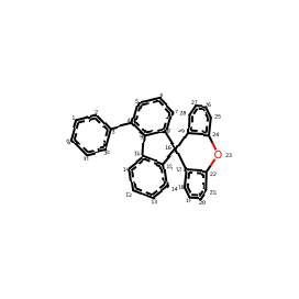 c1ccc(-c2cccc3c2-c2ccccc2C32c3ccccc3Oc3ccccc32)cc1